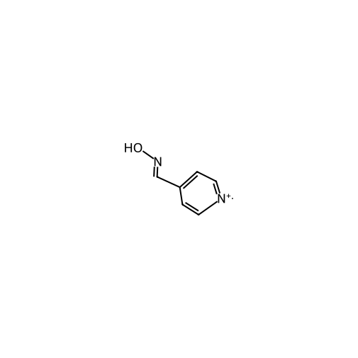 ON=CC1=CC=[N+]C=C1